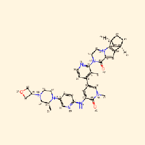 Cc1c(-c2cc(Nc3ccc(N4CCN(C5COC5)C[C@@H]4C)cn3)c(=O)n(C)c2)ccnc1N1CCn2c(cc3c2[C@H]2CC[C@@H]3C2)C1=O